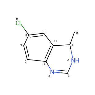 CC1NC=Nc2ccc(Cl)cc21